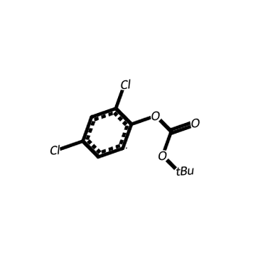 CC(C)(C)OC(=O)Oc1[c]cc(Cl)cc1Cl